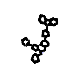 C(=C(\Cc1ccc(-c2ccc(-n3c4ccccc4c4ccccc43)cc2)cc1)c1ccc(-c2ncccn2)cc1)/c1ccccc1